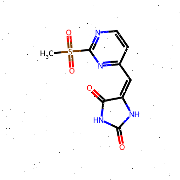 CS(=O)(=O)c1nccc(/C=C2/NC(=O)NC2=O)n1